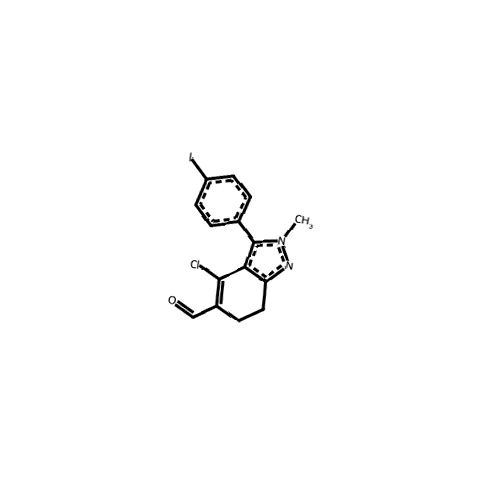 Cn1nc2c(c1-c1ccc(I)cc1)C(Cl)=C(C=O)CC2